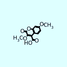 COc1ccc2c(C(=O)O)c(OC)c(=O)oc2c1